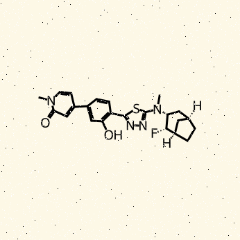 CN(c1nnc(-c2ccc(-c3ccn(C)c(=O)c3)cc2O)s1)[C@@H]1C[C@H]2CC[C@H](C2)[C@@H]1F